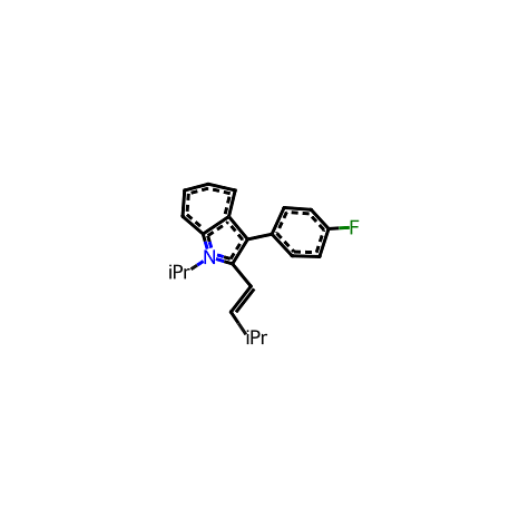 CC(C)/C=C/c1c(-c2ccc(F)cc2)c2ccccc2n1C(C)C